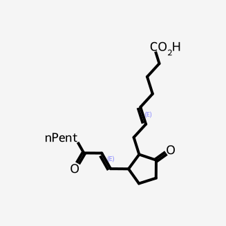 CCCCCC(=O)/C=C/C1CCC(=O)C1C/C=C/CCCC(=O)O